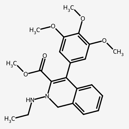 CCNN1Cc2ccccc2C(c2cc(OC)c(OC)c(OC)c2)=C1C(=O)OC